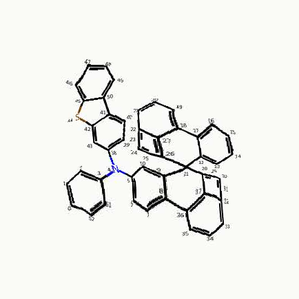 c1ccc(N(c2ccc3c(c2)C2(c4ccccc4-c4cccc5cccc2c45)c2cccc4cccc-3c24)c2ccc3c(c2)sc2ccccc23)cc1